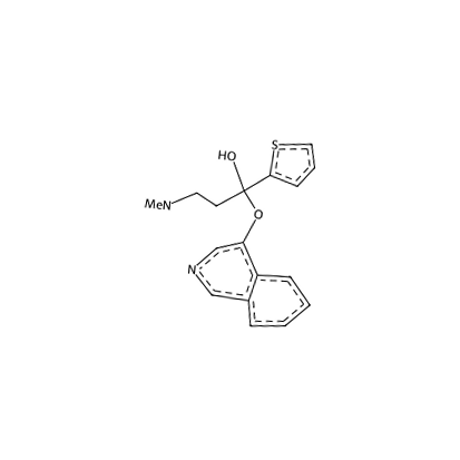 CNCCC(O)(Oc1cncc2ccccc12)c1cccs1